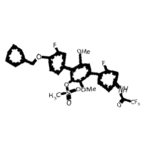 COc1cc(-c2ccc(NC(=O)C(F)(F)F)cc2F)c(OC)c(OS(C)(=O)=O)c1-c1ccc(OCc2ccccc2)c(F)c1